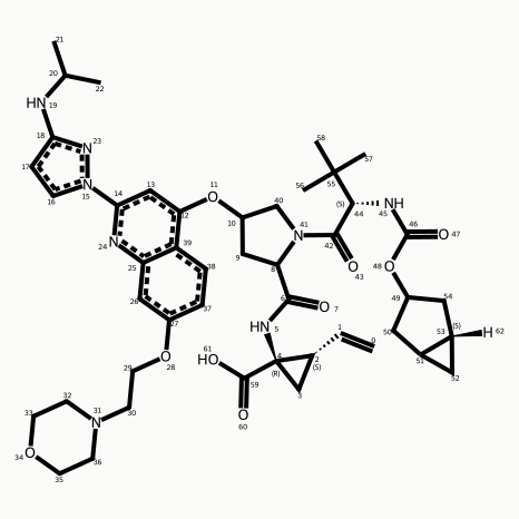 C=C[C@@H]1C[C@]1(NC(=O)C1CC(Oc2cc(-n3ccc(NC(C)C)n3)nc3cc(OCCN4CCOCC4)ccc23)CN1C(=O)[C@@H](NC(=O)OC1CC2C[C@H]2C1)C(C)(C)C)C(=O)O